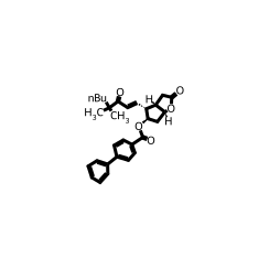 CCCCC(C)(C)C(=O)/C=C/[C@@H]1[C@H]2CC(=O)O[C@H]2C[C@H]1OC(=O)c1ccc(-c2ccccc2)cc1